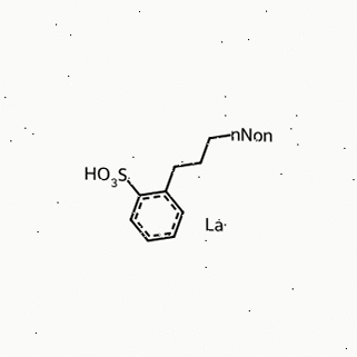 CCCCCCCCCCCCc1ccccc1S(=O)(=O)O.[La]